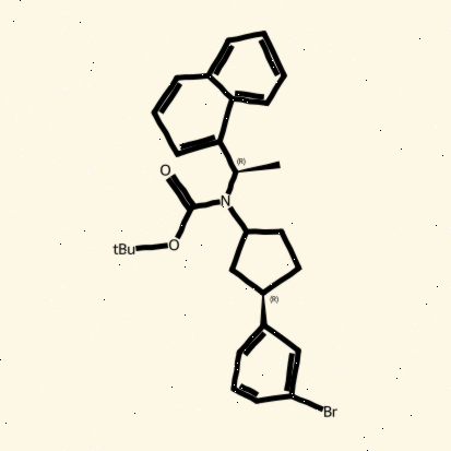 C[C@H](c1cccc2ccccc12)N(C(=O)OC(C)(C)C)C1CC[C@@H](c2cccc(Br)c2)C1